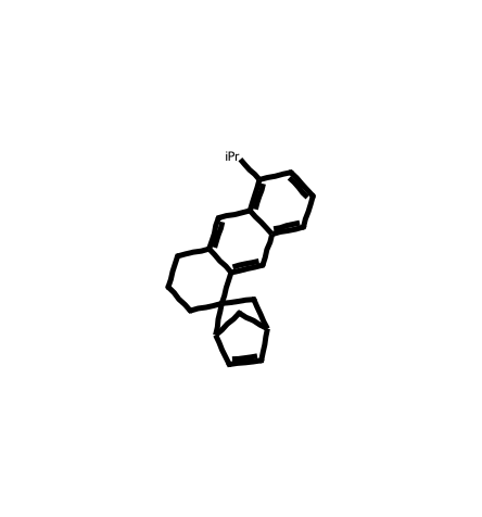 CC(C)c1cccc2cc3c(cc12)CCCC31CC2C=CC1C2